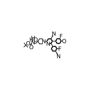 COc1ccc(-c2c(C#N)cc(N3CCC(O)(CNC(=O)OC(C)(C)C)CC3)nc2-c2ccc(C#N)c(F)c2)cc1F